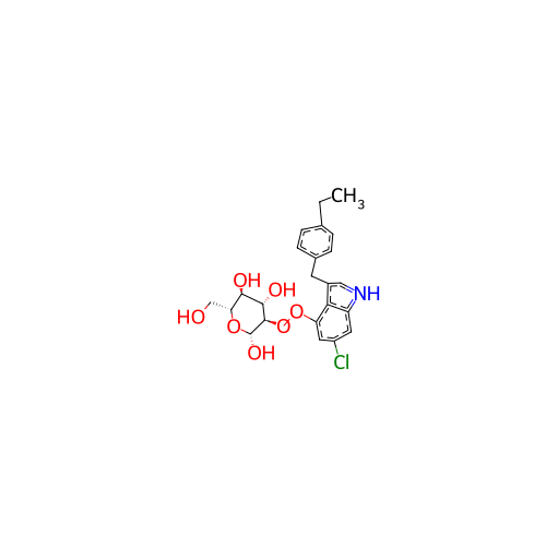 CCc1ccc(Cc2c[nH]c3cc(Cl)cc(OO[C@@H]4[C@@H](O)[C@H](O)[C@@H](CO)O[C@H]4O)c23)cc1